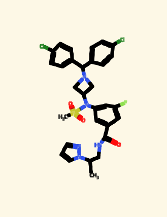 CC(CNC(=O)c1cc(F)cc(N(C2CN(C(c3ccc(Cl)cc3)c3ccc(Cl)cc3)C2)S(C)(=O)=O)c1)n1cccn1